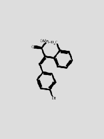 CCc1ccc(C=C(C(=O)OC)c2ccccc2C(=O)O)cc1